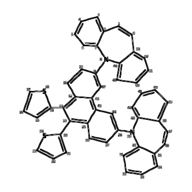 C1=Cc2ccccc2N(c2ccc3c(-c4cccs4)c(-c4cccs4)c4ccc(N5c6ccccc6C=Cc6ccccc65)cc4c3c2)c2ccccc21